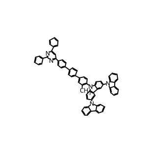 Cc1cc(-c2ccc(-c3ccc(-c4cc(-c5ccccc5)nc(-c5ccccc5)n4)cc3)cc2)ccc1-n1c2ccc(-n3c4ccccc4c4ccccc43)cc2c2cc(-n3c4ccccc4c4ccccc43)ccc21